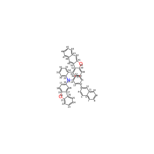 c1cc(-c2ccc3ccccc3c2)cc(N(c2ccc3oc4ccccc4c3c2)c2ccccc2-c2cccc3oc4cc5ccccc5cc4c23)c1